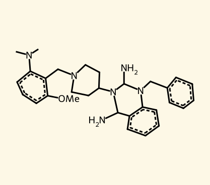 COc1cccc(N(C)C)c1CN1CCC(N2C(N)c3ccccc3N(Cc3ccccc3)C2N)CC1